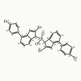 CCC1=Cc2c(-c3ccc(CC)cc3)cccc2[CH]1[Zr]([Cl])([Cl])[CH]1C(CC)=Cc2c(-c3ccc(CC)cc3)cccc21